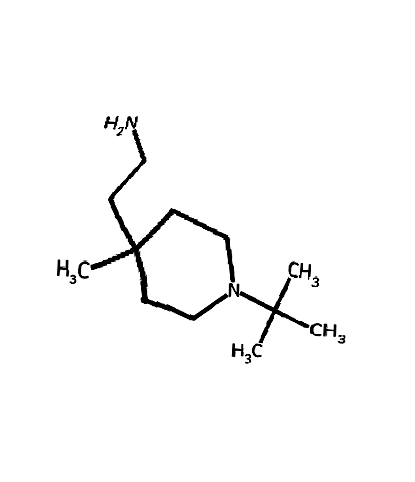 CC1(CCN)CCN(C(C)(C)C)CC1